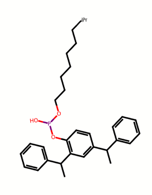 CC(C)CCCCCCCOP(O)Oc1ccc(C(C)c2ccccc2)cc1C(C)c1ccccc1